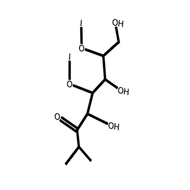 CC(C)C(=O)C(O)C(OI)C(O)C(CO)OI